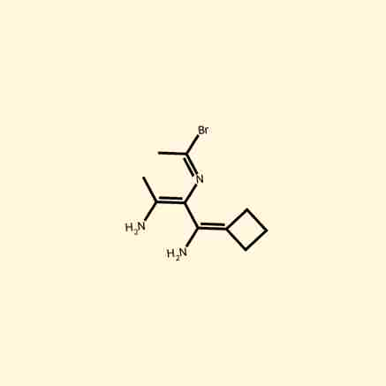 C/C(Br)=N\C(C(N)=C1CCC1)=C(/C)N